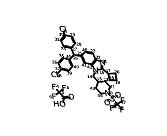 O=C(O)C(F)(F)F.O=S(=O)(N1CCC(Cn2c(C3CCC3)nc3ccc(C(c4ccc(Cl)cc4)c4ccc(Cl)cc4)cc32)CC1)C(F)(F)F